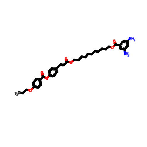 Nc1cc(N)cc(C(=O)OCCCCCCCCCCCOC(=O)C=Cc2ccc(OC(=O)c3ccc(OCCC(F)(F)F)cc3)cc2)c1